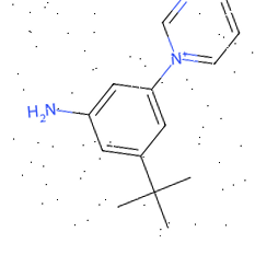 CC(C)(C)c1cc(N)cc(-[n+]2cccnc2)c1